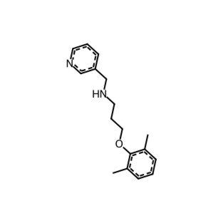 Cc1cccc(C)c1OCCCNCc1cccnc1